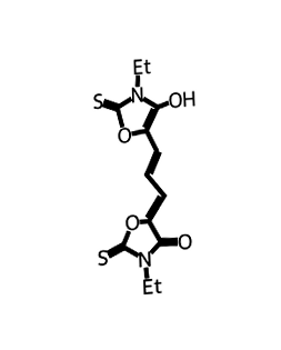 CCN1C(=O)/C(=C/C=C/c2oc(=S)n(CC)c2O)OC1=S